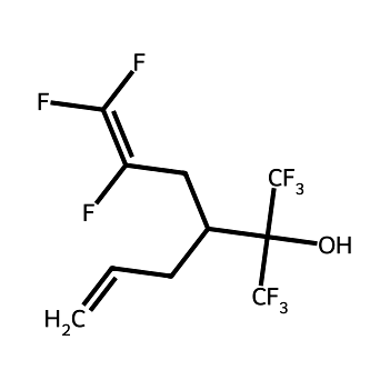 C=CCC(CC(F)=C(F)F)C(O)(C(F)(F)F)C(F)(F)F